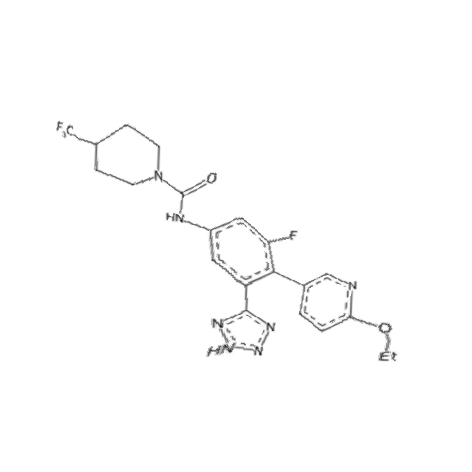 CCOc1ccc(-c2c(F)cc(NC(=O)N3CCC(C(F)(F)F)CC3)cc2-c2nn[nH]n2)cn1